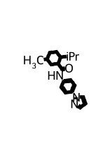 CC1CCC(C(C)C)C(C(=O)Nc2ccc(-n3cccn3)cc2)C1